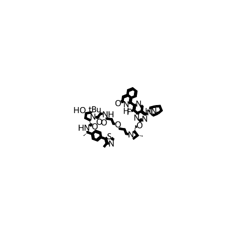 Cc1ncsc1-c1ccc([C@H](C)NC(=O)[C@@H]2C[C@@H](O)CN2C(=O)[C@@H](NC(=O)CCOCCCN2C[C@@H](C)[C@H]2COc2nc(N3CC4CCC(C3)N4)c3cnc(-c4[nH]c(=O)cc5ccccc45)c(F)c3n2)C(C)(C)C)cc1